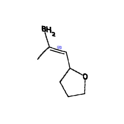 B/C(C)=C/C1CCCO1